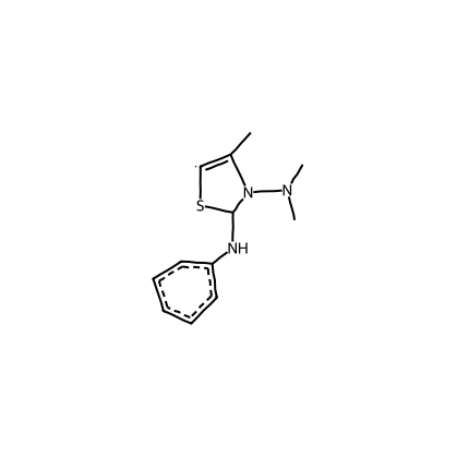 CC1=[C]SC(Nc2ccccc2)N1N(C)C